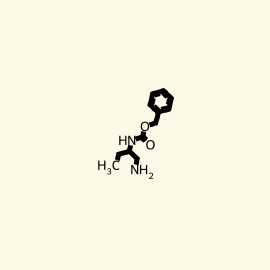 CCC(CN)NC(=O)OCc1ccccc1